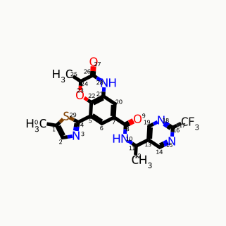 Cc1cnc(-c2cc(C(=O)NC(C)c3cnc(C(F)(F)F)nc3)cc3c2OC(C)C(=O)N3)s1